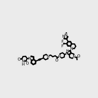 CC(=O)N1CCc2c(c(N3CCCc4cc(-c5cnn(C)c5)c(C(F)F)cc43)nn2C2CCN(C(=O)CCCN3CCC(C#Cc4cccc5c4ccn5C4CCC(=O)NC4=O)CC3)CC2)C1